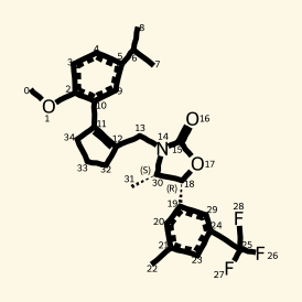 COc1ccc(C(C)C)cc1C1=C(CN2C(=O)O[C@H](c3cc(C)cc(C(F)(F)F)c3)[C@@H]2C)CCC1